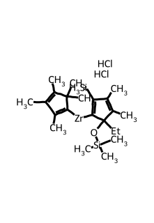 CCC1(O[Si](C)(C)C)C(C)=C(C)C([SiH3])=[C]1[Zr][C]1=C(C)C(C)=C(C)C1(C)C.Cl.Cl